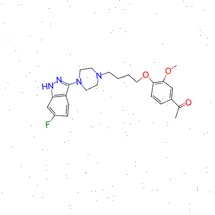 COc1cc(C(C)=O)ccc1OCCCCN1CCN(c2n[nH]c3cc(F)ccc23)CC1